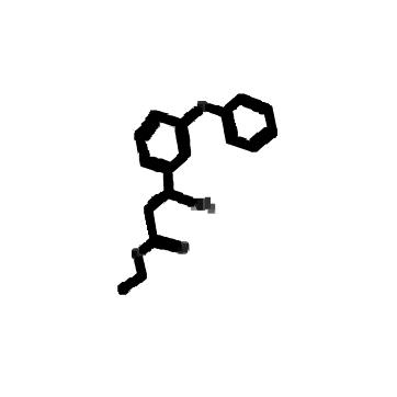 CCOC(=O)CC(N)c1cccc(Oc2ccccc2)c1